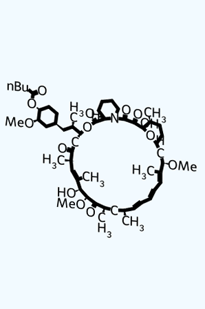 CCCCC(=O)O[C@@H]1CC[C@@H](C[C@@H](C)[C@@H]2CC(=O)[C@H](C)/C=C(\C)[C@@H](O)[C@@H](OC)C(=O)[C@H](C)C[C@H](C)/C=C/C=C/C=C(\C)[C@@H](OC)C[C@@H]3CC[C@@H](C)[C@@](O)(O3)C(=O)C(=O)N3CCCC[C@H]3C(=O)O2)C[C@H]1OC